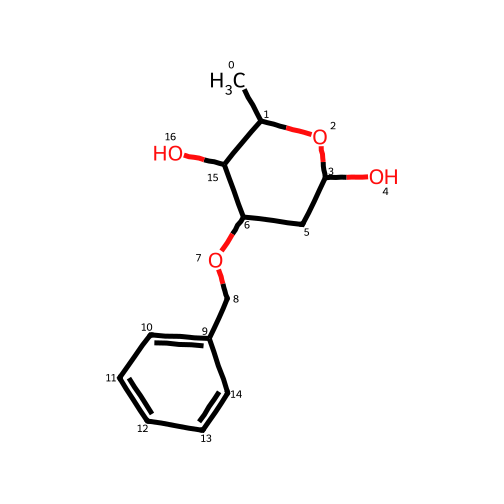 CC1OC(O)CC(OCc2ccccc2)C1O